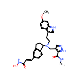 CNC(=O)c1[nH]ncc1CN(CCc1c[nH]c2cc(OC)ccc12)C1CCc2cc(C=CC(=O)NO)ccc21